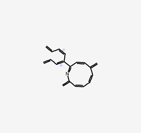 C=C/C=C\C(=C/C=C)c1ccc(=C)ccccc(=C)n1